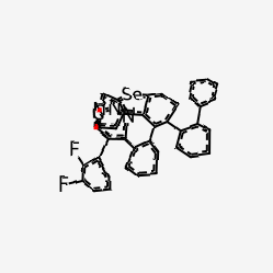 Fc1cccc(-c2cnnnc2-c2ccccc2-c2c(-c3ccccc3-c3ccccc3)ccc3[se]c4ccccc4c23)c1F